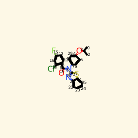 CC(C)Oc1ccc(N(C(=O)c2ccc(F)cc2Cl)c2nc3ccccc3s2)cc1